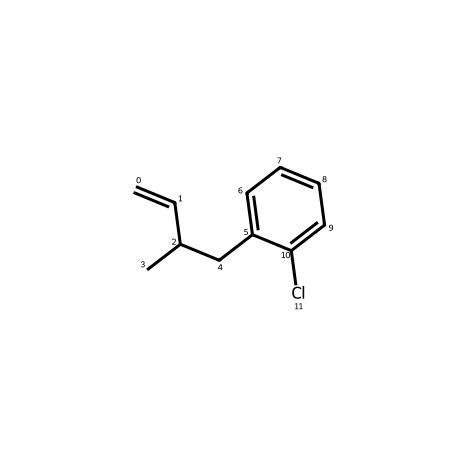 C=CC(C)Cc1ccccc1Cl